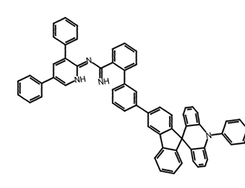 N=C(/N=c1\[nH]cc(-c2ccccc2)cc1-c1ccccc1)c1ccccc1-c1cccc(-c2ccc3c(c2)-c2ccccc2C32c3ccccc3N(c3ccccc3)c3ccccc32)c1